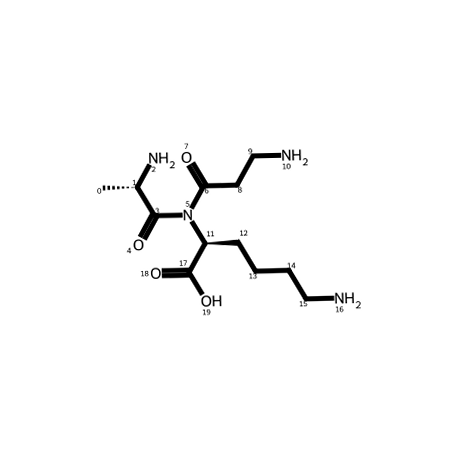 C[C@H](N)C(=O)N(C(=O)CCN)[C@@H](CCCCN)C(=O)O